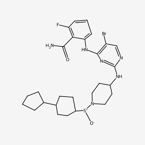 NC(=O)c1c(F)cccc1Nc1nc(NC2CCN([S+]([O-])C3CCC(C4CCCC4)CC3)CC2)ncc1Br